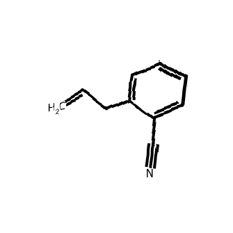 C=CCc1c[c]ccc1C#N